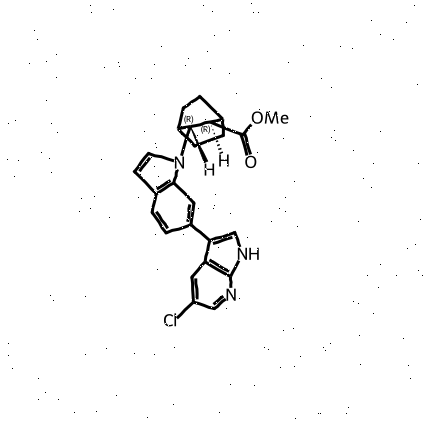 COC(=O)[C@@H]1C2CCC(CC2)[C@H]1n1ccc2ccc(-c3c[nH]c4ncc(Cl)cc34)cc21